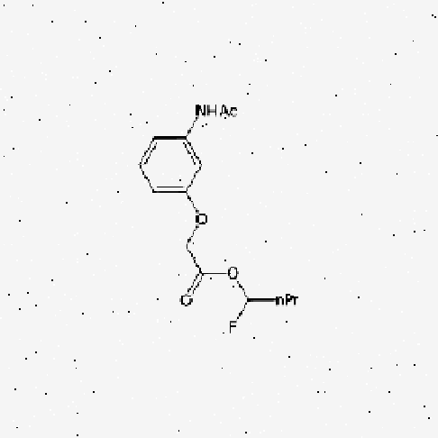 CCCC(F)OC(=O)COc1cccc(NC(C)=O)c1